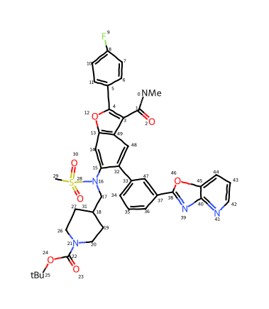 CNC(=O)c1c(-c2ccc(F)cc2)oc2cc(N(CC3CCN(C(=O)OC(C)(C)C)CC3)S(C)(=O)=O)c(-c3cccc(-c4nc5ncccc5o4)c3)cc12